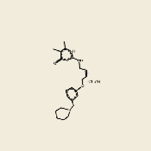 Cc1[nH]c(NC/C=C\COc2cccc(CN3CCCCC3)c2)nc(=O)c1C.Cl.Cl